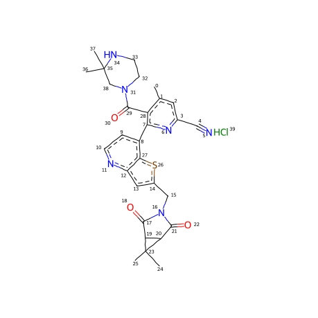 Cc1cc(C#N)nc(-c2ccnc3cc(CN4C(=O)C5C(C4=O)C5(C)C)sc23)c1C(=O)N1CCNC(C)(C)C1.Cl